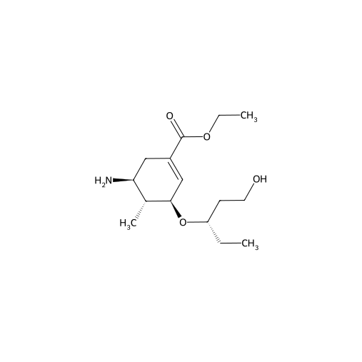 CCOC(=O)C1=C[C@@H](O[C@@H](CC)CCO)[C@H](C)[C@@H](N)C1